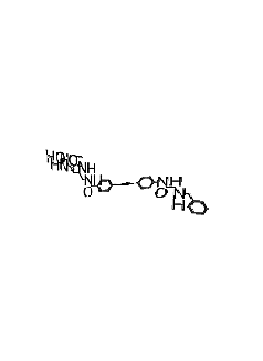 CNC(CNC(=O)c1ccc(C#Cc2ccc(NC(=O)CNCc3ccccc3)cc2)cc1)CC(=O)NO